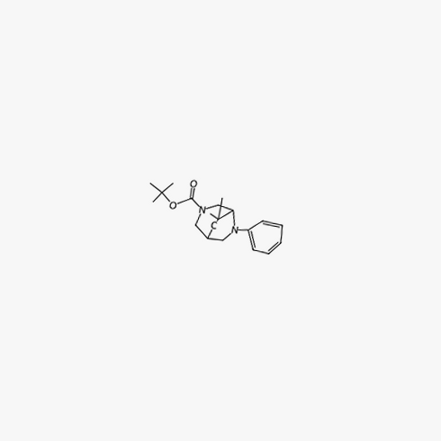 CC(C)(C)OC(=O)N1CC2CN(c3ccccc3)C(C1)C(C)(C)C2